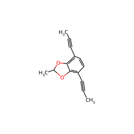 CC#Cc1ccc(C#CC)c2c1OC(C)O2